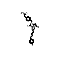 CC(=O)N[N+]1(CCCCCCc2ccc(F)cc2)C(=O)CC1SCc1ccc(CC(=O)O)cc1